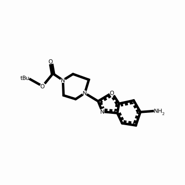 CC(C)(C)OC(=O)N1CCN(c2nc3ccc(N)cc3o2)CC1